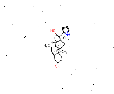 C[C@H]1C=C2C[C@@H](O)CC[C@]2(C)[C@H]2CC[C@]3(C)C(c4ccc[nH]4)=C(O)C[C@H]3[C@H]12